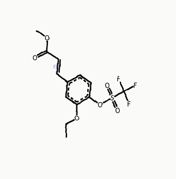 CCOc1cc(/C=C/C(=O)OC)ccc1OS(=O)(=O)C(F)(F)F